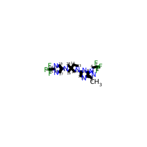 Cc1nn(CC(F)(F)F)c2nc(N3CCC4(CN(c5cnc(C(F)(F)F)nc5)C4)C3)cnc12